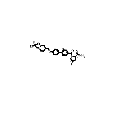 CCC(F)(CC)CN1CCC(COc2ccc(-c3ccc(C(=O)N4C[C@@H](F)C[C@H]4C(N)=O)cc3F)cc2)CC1